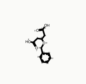 O=C(O)CC(CC(=O)O)OCc1ccccc1